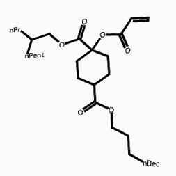 C=CC(=O)OC1(C(=O)OCC(CCC)CCCCC)CCC(C(=O)OCCCCCCCCCCCCC)CC1